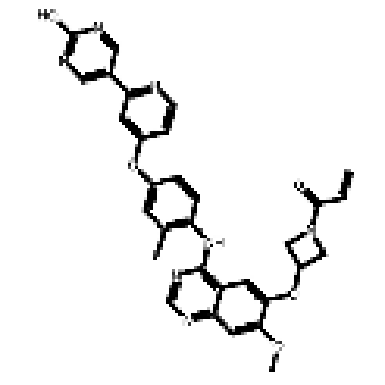 C=CC(=O)N1CC(Oc2cc3c(Nc4ccc(Oc5ccnc(-c6cnc(O)nc6)c5)cc4F)ncnc3cc2OC)C1